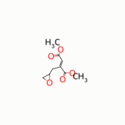 COC(=O)/C=C(\CC1CO1)C(=O)OC